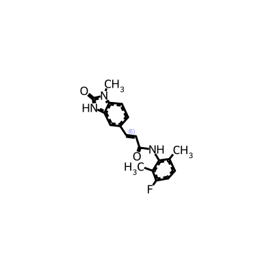 Cc1ccc(F)c(C)c1NC(=O)/C=C/c1ccc2c(c1)[nH]c(=O)n2C